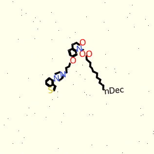 CCCCCCCCCCCCCCCCCCCCCC(=O)OCN1C(=O)CCc2ccc(OCCCCN3CCN(c4cccc5sccc45)CC3)cc21